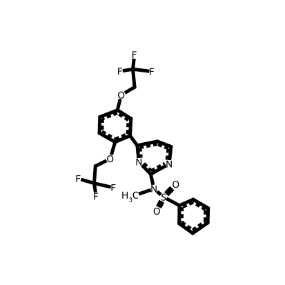 CN(c1nccc(-c2cc(OCC(F)(F)F)ccc2OCC(F)(F)F)n1)S(=O)(=O)c1ccccc1